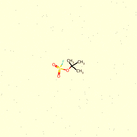 CC(C)(C)OS(=O)(=O)F